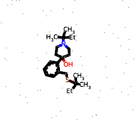 CCC(C)(C)SCc1ccccc1C1(O)CCN(C(C)(C)CC)CC1